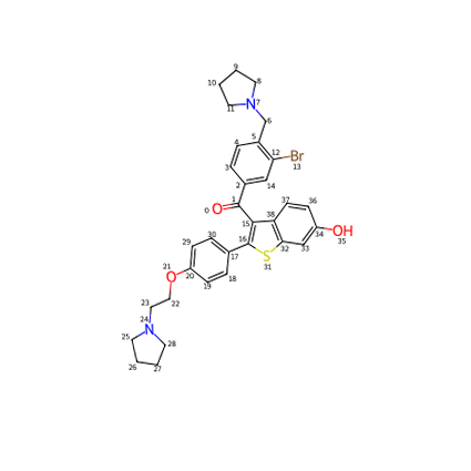 O=C(c1ccc(CN2CCCC2)c(Br)c1)c1c(-c2ccc(OCCN3CCCC3)cc2)sc2cc(O)ccc12